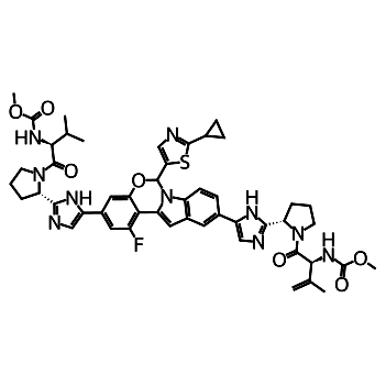 C=C(C)[C@H](NC(=O)OC)C(=O)N1CCC[C@H]1c1ncc(-c2ccc3c(c2)cc2n3C(c3cnc(C4CC4)s3)Oc3cc(-c4cnc([C@@H]5CCCN5C(=O)[C@@H](NC(=O)OC)C(C)C)[nH]4)cc(F)c3-2)[nH]1